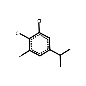 CC(C)c1cc(F)c(Cl)c(Cl)c1